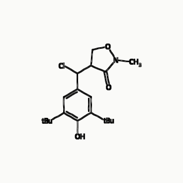 CN1OCC(C(Cl)c2cc(C(C)(C)C)c(O)c(C(C)(C)C)c2)C1=O